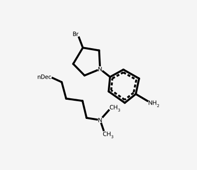 CCCCCCCCCCCCCCN(C)C.Nc1ccc(N2CCC(Br)C2)cc1